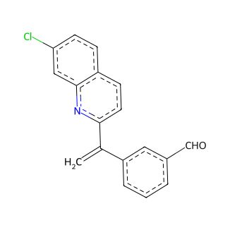 C=C(c1cccc(C=O)c1)c1ccc2ccc(Cl)cc2n1